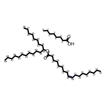 CCCCCCCC(=O)O.CCCCCCCC/C=C\CCCCCCCC(=O)OC(CCCCCCCC)CCCCCCCCCCC